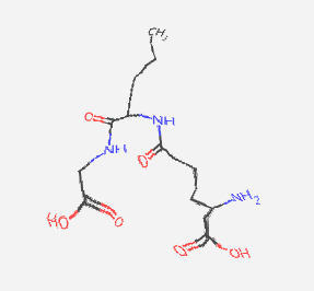 CCCC(NC(=O)CCC(N)C(=O)O)C(=O)NCC(=O)O